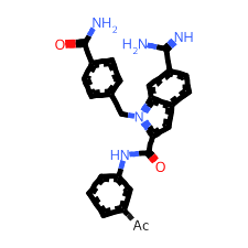 CC(=O)c1cccc(NC(=O)c2cc3ccc(C(=N)N)cc3n2Cc2ccc(C(N)=O)cc2)c1